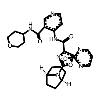 O=C(Nc1ccncc1C(=O)NC1CCOCC1)c1coc(N2[C@@H]3CC[C@H]2C[C@@H](Oc2ncccn2)C3)n1